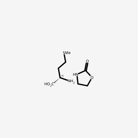 CSCC[C@H](N)C(=O)O.O=C1NCCO1